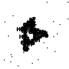 CC[C@@]1(O)C(=O)OCc2c1cc1n(c2=O)Cc2c-1nc1cc(F)c(C)c3c1c2[C@@H](NC(=O)[C@H](CO)NC(=O)CCCNC(=O)CNC(=O)[C@H](Cc1ccccc1)NC(=O)CNC(=O)CNC(=O)CCCCCN1C(=O)C=CC1=O)CC3